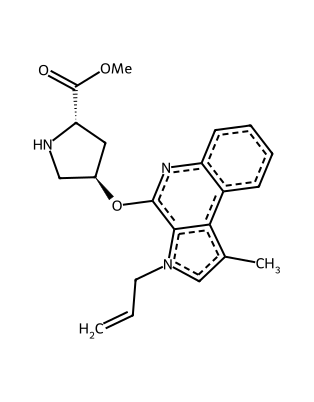 C=CCn1cc(C)c2c3ccccc3nc(O[C@H]3CN[C@H](C(=O)OC)C3)c21